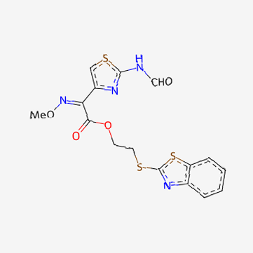 CO/N=C(\C(=O)OCCSc1nc2ccccc2s1)c1csc(NC=O)n1